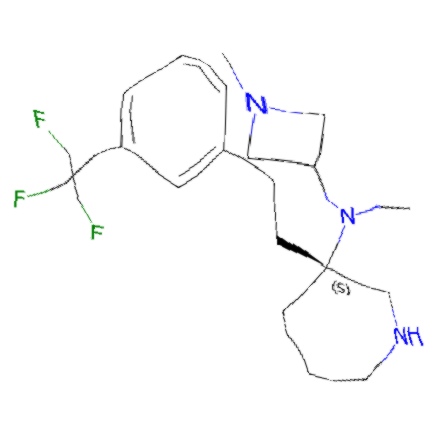 CN1CC(N(C)[C@@]2(CCc3cccc(C(F)(F)F)c3)CCCNC2)C1